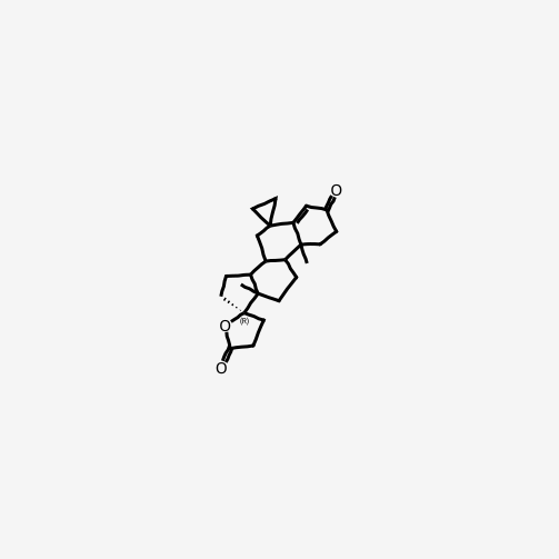 CC12CCC(=O)C=C1C1(CC1)CC1C2CCC2(C)C1CC[C@@]21CCC(=O)O1